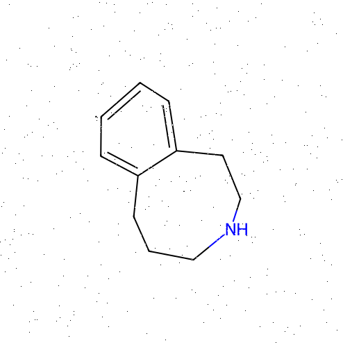 [c]1ccc2c(c1)CCCNCC2